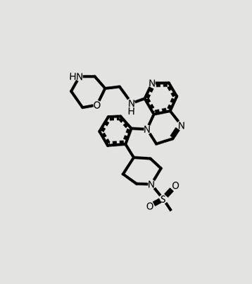 CS(=O)(=O)N1CCC(c2ccccc2N2CC=Nc3ccnc(NCC4CNCCO4)c32)CC1